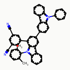 Cc1cccc(C)c1-n1c2ccccc2c2cc(-c3ccc4c(c3)c3ccccc3n4-c3ccccc3)cc(-c3cc(C#N)cc(C#N)c3)c21